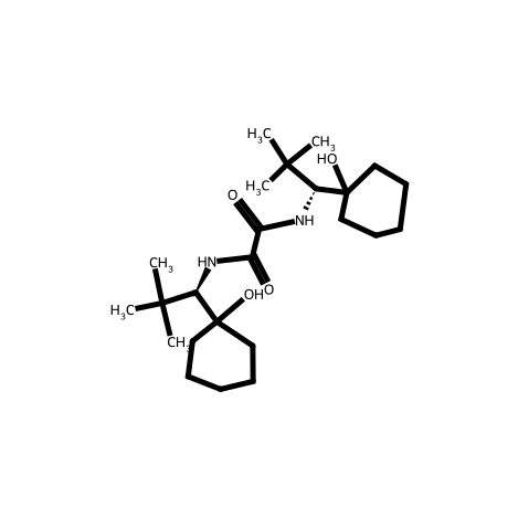 CC(C)(C)[C@@H](NC(=O)C(=O)N[C@H](C(C)(C)C)C1(O)CCCCC1)C1(O)CCCCC1